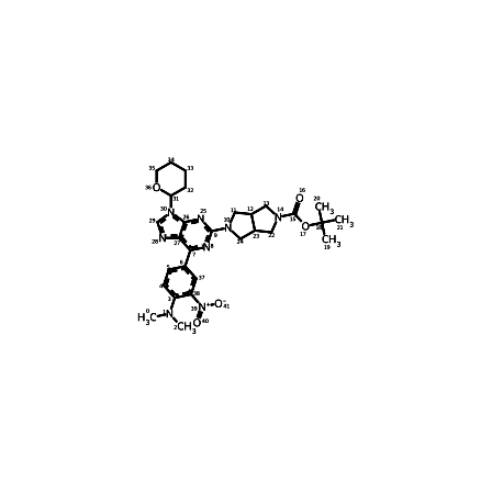 CN(C)c1ccc(-c2nc(N3CC4CN(C(=O)OC(C)(C)C)CC4C3)nc3c2ncn3C2CCCCO2)cc1[N+](=O)[O-]